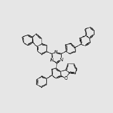 c1ccc(-c2cc(-c3nc(-c4ccc(-c5ccc6ccccc6c5)cc4)nc(-c4ccc5c(ccc6ccccc65)c4)n3)c3c(c2)oc2ccccc23)cc1